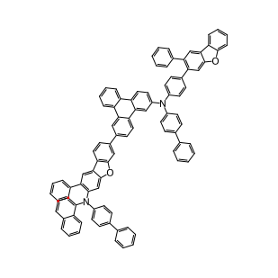 c1ccc(-c2ccc(N(c3ccc(-c4cc5oc6ccccc6c5cc4-c4ccccc4)cc3)c3ccc4c5ccccc5c5cc(-c6ccc7c(c6)oc6cc(N(c8ccc(-c9ccccc9)cc8)c8cccc9ccccc89)c(-c8ccccc8)cc67)ccc5c4c3)cc2)cc1